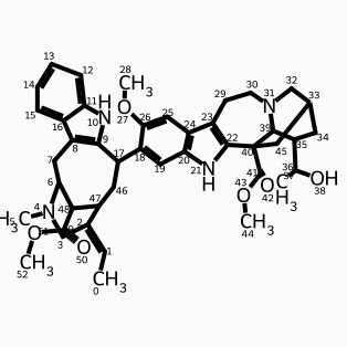 C/C=C1\CN(C)C2Cc3c([nH]c4ccccc34)C(c3cc4[nH]c5c(c4cc3OC)CCN3CC4CC(C(C)O)C3C5(C(=O)OC)C4)CC1C2C(=O)OC